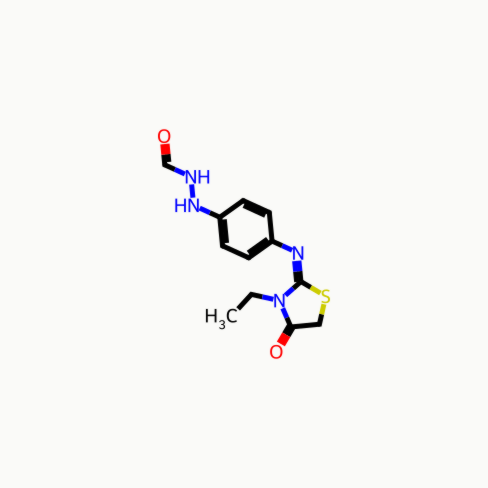 CCN1C(=O)CSC1=Nc1ccc(NNC=O)cc1